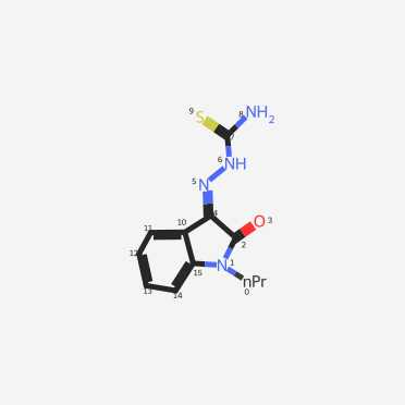 CCCN1C(=O)C(=NNC(N)=S)c2ccccc21